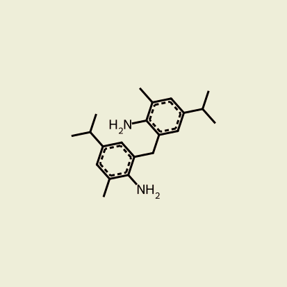 Cc1cc(C(C)C)cc(Cc2cc(C(C)C)cc(C)c2N)c1N